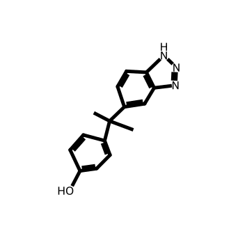 CC(C)(c1ccc(O)cc1)c1ccc2[nH]nnc2c1